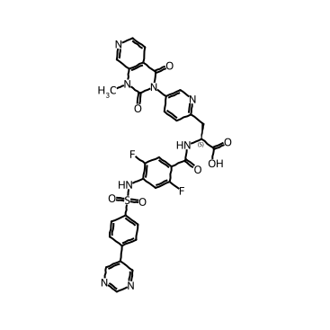 Cn1c(=O)n(-c2ccc(C[C@H](NC(=O)c3cc(F)c(NS(=O)(=O)c4ccc(-c5cncnc5)cc4)cc3F)C(=O)O)nc2)c(=O)c2ccncc21